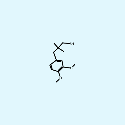 COc1ccc(CC(C)(C)CS)cc1OC